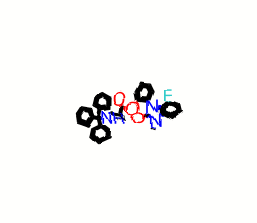 C[C@@H](CNC(c1ccccc1)(c1ccccc1)c1ccccc1)C(=O)Oc1ccccc1-n1c(=O)n(C)c2cccc(F)c21